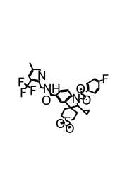 Cc1cnc(CNC(=O)c2ccc3c(c2)C2(CCS(=O)(=O)CC2)C(C2CC2)N3S(=O)(=O)c2ccc(F)cc2)c(C(F)(F)F)c1